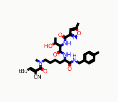 Cc1ccc(CNC(=O)C(CCCCN(C)C(=O)C(C#N)=CC(C)(C)C)NC(=O)C(NC(=O)c2cc(C)on2)C(C)O)cc1